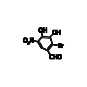 O=Cc1cc([N+](=O)[O-])c(O)c(O)c1Br